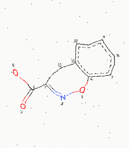 [O]C(=O)C1=NOc2ccccc2C1